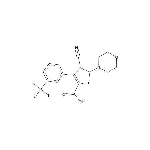 N#CC1C(c2cccc(C(F)(F)F)c2)=C(C(=O)O)SC1N1CCOCC1